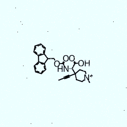 CC#CC1([C@H](NC(=O)OCC2c3ccccc3-c3ccccc32)C(=O)O)CC[N+](C)(C)CC1